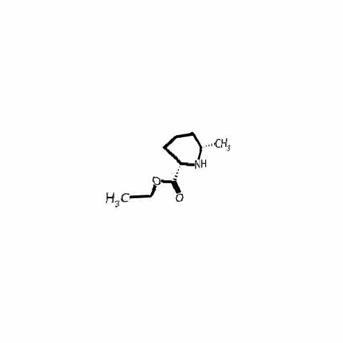 CCOC(=O)[C@@H]1CCC[C@H](C)N1